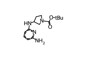 CC(C)(C)OC(=O)N1CCC(Nc2cccc(N)n2)C1